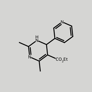 CCOC(=O)C1=C(C)N=C(C)NC1c1cccnc1